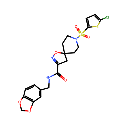 O=C(NCc1ccc2c(c1)OCO2)C1=NOC2(CCN(S(=O)(=O)c3ccc(Cl)s3)CC2)C1